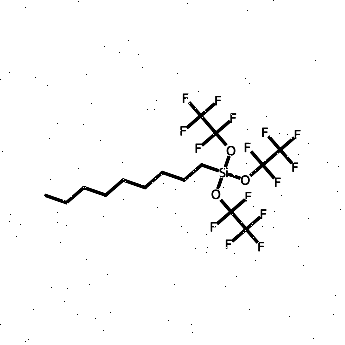 CCCCCCCCC[Si](OC(F)(F)C(F)(F)F)(OC(F)(F)C(F)(F)F)OC(F)(F)C(F)(F)F